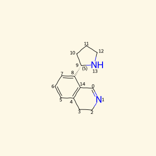 C1=NCCc2cccc([C@@H]3CCCN3)c21